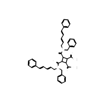 O=C(O)C1C(C(=O)O)C(C(=O)N(CC=CC=Cc2ccccc2)Cc2ccccc2)C1C(=O)N(CC=CC=Cc1ccccc1)Cc1ccccc1